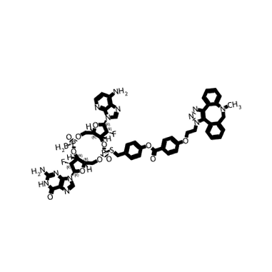 B[P@]1(=O)OC[C@H]2O[C@@H](n3cnc4c(N)ccnc43)[C@H](F)[C@@H]2O[P@@](=O)(SCc2ccc(OC(=O)c3ccc(OCCn4nnc5c4-c4ccccc4CN(C)c4ccccc4-5)cc3)cc2)OC[C@H]2O[C@@H](n3cnc4c(=O)[nH]c(N)nc43)[C@H](F)[C@@H]2O1